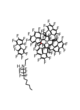 CCCCCCC(F)(F)C(F)(F)C(F)(F)[NH2+]CCC.Fc1c(F)c(F)c(-c2c(F)c(F)c(F)c(F)c2F)c(F)c1F.Fc1c(F)c2c(F)c(F)c3c(F)c(F)c([B-](c4c(F)c(F)c5c(F)c(F)c6c(F)c(F)c(F)c7c(F)c(F)c4c5c67)(c4c(F)c(F)c5c(F)c(F)c6c(F)c(F)c(F)c7c(F)c(F)c4c5c67)c4c(F)c(F)c5c(F)c(F)c6c(F)c(F)c(F)c7c(F)c(F)c4c5c67)c4c(F)c(F)c(c1F)c2c34